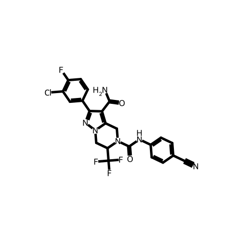 N#Cc1ccc(NC(=O)N2Cc3c(C(N)=O)c(-c4ccc(F)c(Cl)c4)nn3CC2C(F)(F)F)cc1